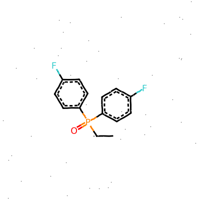 C[CH]P(=O)(c1ccc(F)cc1)c1ccc(F)cc1